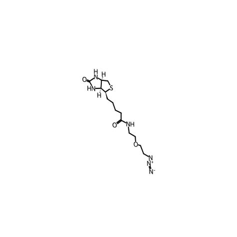 [N-]=[N+]=NCCOCCNC(=O)CCCC[C@@H]1SC[C@@H]2NC(=O)N[C@@H]21